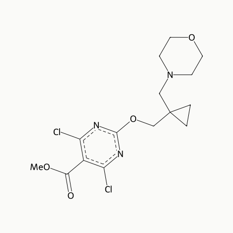 COC(=O)c1c(Cl)nc(OCC2(CN3CCOCC3)CC2)nc1Cl